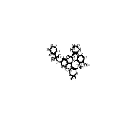 CC1(C)CC(=O)C2=C(C1)Nc1c(O)cccc1N(C(=O)c1cnccn1)C2c1ccc(OC(F)(F)c2ccccc2)cc1F